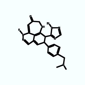 CCn1ncnc1C1C2=C3C(=CC1c1ccc(CN(C)C)cc1)C=NN(F)C3=CC(=O)CN2